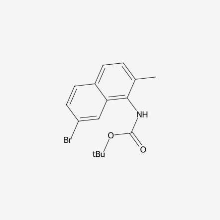 Cc1ccc2ccc(Br)cc2c1NC(=O)OC(C)(C)C